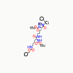 CCN(C(=O)[C@H](CCCCNC(=O)[C@H](CCCCNC(=O)OCc1ccccc1)NC(=O)OC(C)(C)C)NC(=O)OC(C)(C)C)C1C2CCC(C2)C1c1ccccc1